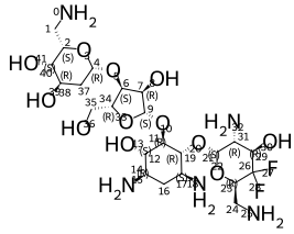 NC[C@@H]1O[C@H](O[C@H]2[C@@H](O)[C@H](O[C@@H]3[C@@H](O)[C@H](N)C[C@H](N)[C@H]3O[C@H]3O[C@H](CN)C(F)(F)[C@H](O)[C@H]3N)O[C@@H]2CO)C[C@@H](O)[C@@H]1O